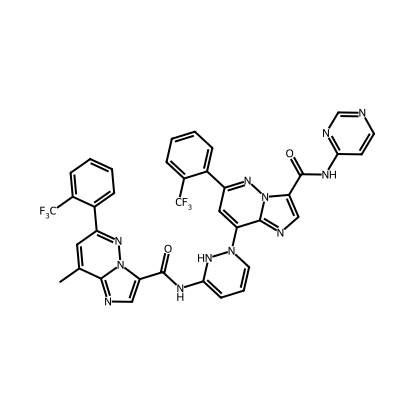 Cc1cc(-c2ccccc2C(F)(F)F)nn2c(C(=O)NC3=CC=CN(c4cc(-c5ccccc5C(F)(F)F)nn5c(C(=O)Nc6ccncn6)cnc45)N3)cnc12